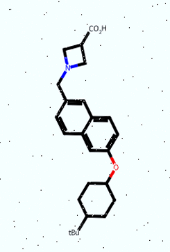 CC(C)(C)C1CCC(Oc2ccc3cc(CN4CC(C(=O)O)C4)ccc3c2)CC1